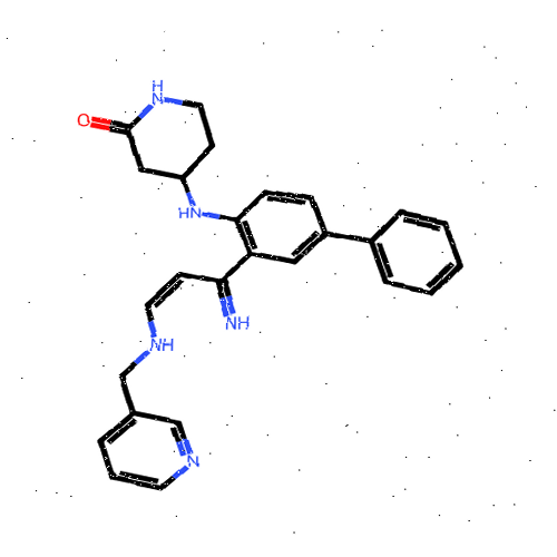 N=C(/C=C\NCc1cccnc1)c1cc(-c2ccccc2)ccc1NC1CCNC(=O)C1